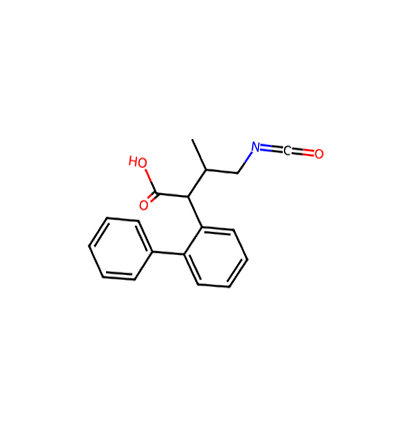 CC(CN=C=O)C(C(=O)O)c1ccccc1-c1ccccc1